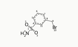 NS(=O)(=O)c1cccc(CBr)c1